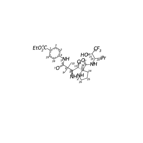 CCOC(=O)c1ccc(NC(=O)C(C)(C)[C@H](N)C(=O)[C@]2(C(=O)NC(C(C)C)C(O)C(F)(F)F)CCCN2)cc1